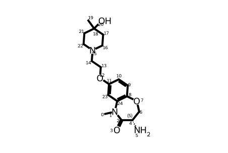 CN1C(=O)[C@@H](N)COc2ccc(OCCN3CCC(C)(O)CC3)cc21